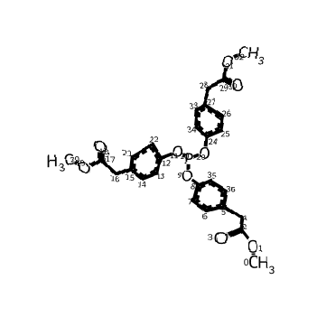 COC(=O)Cc1ccc(OP(Oc2ccc(CC(=O)OC)cc2)Oc2ccc(CC(=O)OC)cc2)cc1